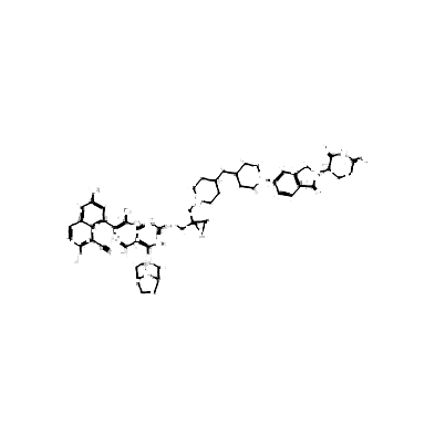 C#Cc1c(F)ccc2cc(O)cc(-c3ncc4c(N5CC6CCC(C5)N6)nc(OCC5(CN6CCC(CC7CCN(c8ccc9c(c8)CN(C8CCC(=O)NC8=O)C9=O)CC7)CC6)CC5)nc4c3F)c12